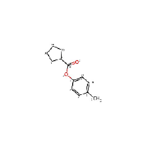 Cc1ccc(OC(=O)C2CCCC2)cc1